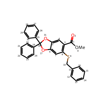 COC(=O)c1cc2c(cc1SCc1ccccc1)OC(c1ccccc1)(c1ccccc1)O2